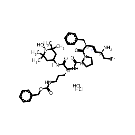 CC(C)C[C@H](N)/C=C/[C@H](Cc1ccccc1)C(=O)N1CCC[C@H]1C(=O)N[C@H](CCCNC(=O)OCc1ccccc1)C(=O)NC1CC(C)(C)N(O)C(C)(C)C1.Cl.Cl